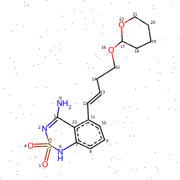 NC1=NS(=O)(=O)Nc2cccc(C=CCCOC3CCCCO3)c21